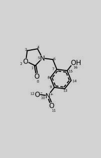 O=C1OCCN1Cc1cc([N+](=O)[O-])ccc1O